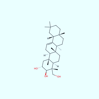 CC1(C)CC[C@]2(C)CC[C@]3(C)C(=CC[C@@H]4[C@@]5(C)C[C@@H](O)[C@H](O)[C@@](C)(CO)[C@@H]5CC[C@]43C)[C@@H]2C1